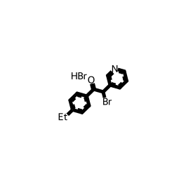 Br.CCc1ccc(C(=O)C(Br)c2cccnc2)cc1